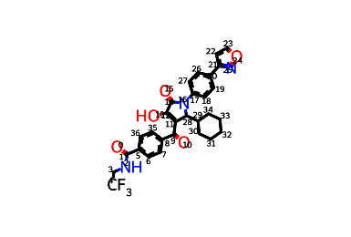 O=C(NCC(F)(F)F)c1ccc(C(=O)C2=C(O)C(=O)N(c3ccc(-c4ccon4)cc3)C2C2CCCCC2)cc1